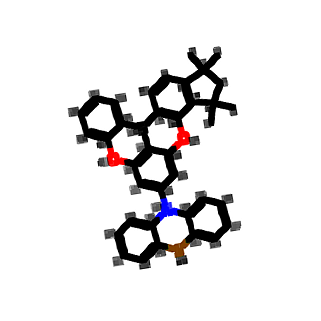 CC1(C)CC(C)(C)c2c1ccc1c2Oc2cc(N3c4ccccc4Sc4ccccc43)cc3c2B1c1ccccc1O3